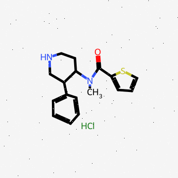 CN(C(=O)c1cccs1)C1CCNCC1c1ccccc1.Cl